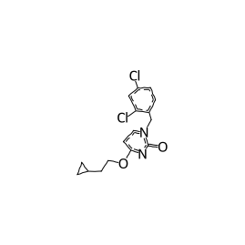 O=c1nc(OCCC2CC2)ccn1Cc1ccc(Cl)cc1Cl